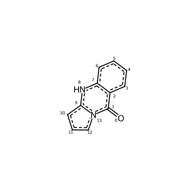 O=c1c2ccccc2[nH]c2cccn12